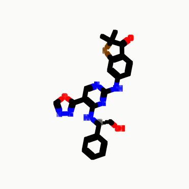 CC1(C)Sc2cc(Nc3ncc(-c4nnco4)c(N[C@H](CO)c4ccccc4)n3)ccc2C1=O